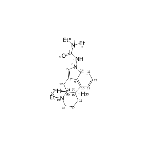 CCN(CC)C(=O)Nn1cc2c3c(cccc31)[C@H]1CCCN(CC)[C@@H]1C2